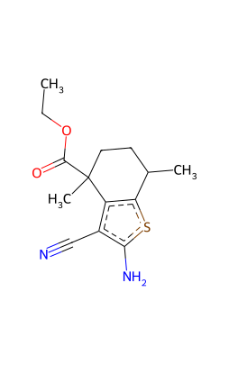 CCOC(=O)C1(C)CCC(C)c2sc(N)c(C#N)c21